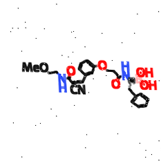 COCCNC(=O)C(C#N)=Cc1cccc(OCCC(=O)N[C@@H](Cc2ccccc2)B(O)O)c1